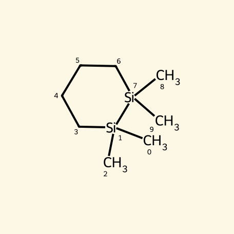 C[Si]1(C)CCCC[Si]1(C)C